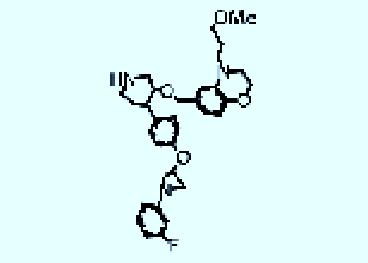 COCCCN1CCOc2ccc(COC3CNCCC3c3ccc(OC4CN(c5cccc(F)c5)C4)cc3)cc21